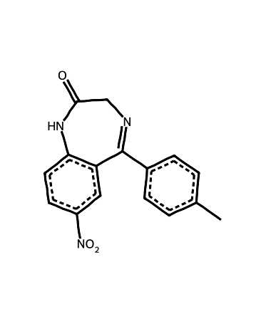 Cc1ccc(C2=NCC(=O)Nc3ccc([N+](=O)[O-])cc32)cc1